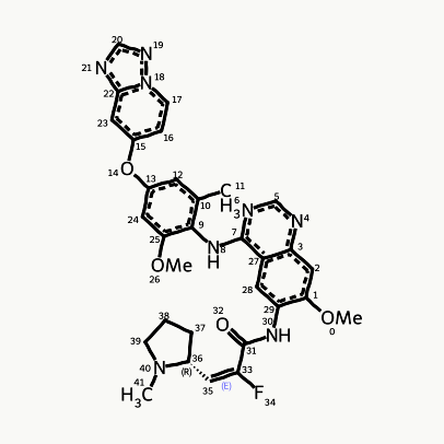 COc1cc2ncnc(Nc3c(C)cc(Oc4ccn5ncnc5c4)cc3OC)c2cc1NC(=O)/C(F)=C\[C@H]1CCCN1C